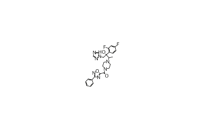 CC(N1CCN(C(=O)c2nc(-c3ccccc3)no2)CC1)C(O)(Cn1cncn1)c1ccc(F)cc1F